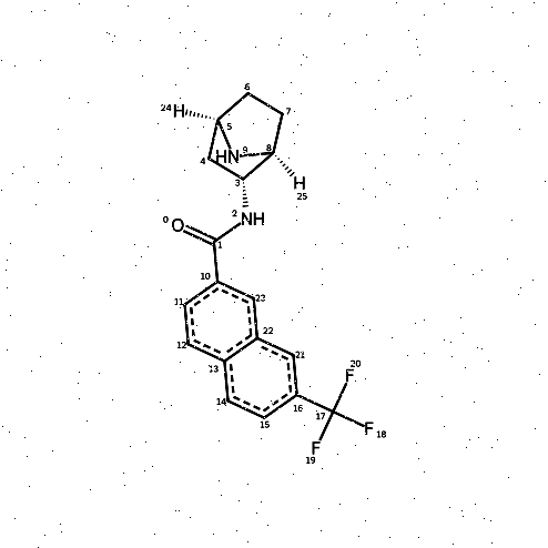 O=C(N[C@@H]1C[C@H]2CC[C@@H]1N2)c1ccc2ccc(C(F)(F)F)cc2c1